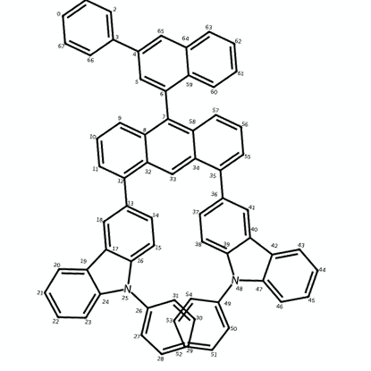 c1ccc(-c2cc(-c3c4cccc(-c5ccc6c(c5)c5ccccc5n6-c5ccccc5)c4cc4c(-c5ccc6c(c5)c5ccccc5n6-c5ccccc5)cccc34)c3ccccc3c2)cc1